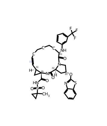 CC1(S(=O)(=O)NC(=O)[C@@]23C[C@H]2/C=C\CCCCC[C@H](Nc2cccc(C(F)(F)F)c2)C(=O)N2C[C@H](Oc4nc5ccccc5s4)C[C@H]2C(=O)N3)CC1